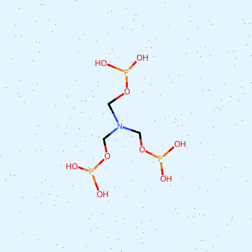 OP(O)OCN(COP(O)O)COP(O)O